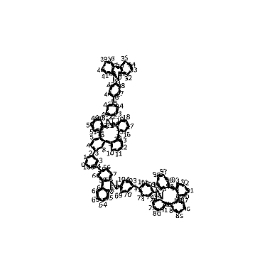 c1cc(-c2ccc3c(c2)c2ccccc2c2ccccc2n(-c2ccc(-c4ccc(-n5c6ccccc6c6ccccc65)cc4)cc2)c2ccccc32)cc(-c2ccc3c(c2)c2ccccc2n3-c2ccc(-c3ccc(-n4c5ccccc5c5ccccc5c5ccccc5c5ccccc54)cc3)cc2)c1